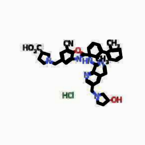 Cc1ccccc1C1=CC=CC(Nc2nccc3cc(CN4CC[C@@H](O)C4)cnc23)(c2nc3cc(CN4CC[C@@H](C(=O)O)C4)cc(C#N)c3o2)C1C.Cl